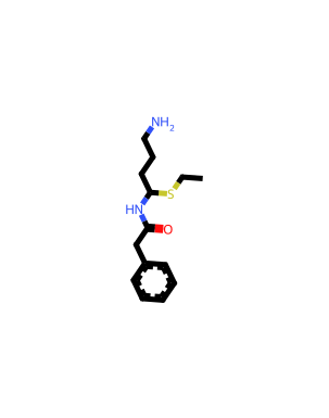 CCSC(CCCN)NC(=O)Cc1ccccc1